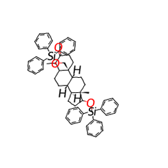 CC1C(=O)CC[C@@]2(CO[Si](c3ccccc3)(c3ccccc3)c3ccccc3)C1CC[C@@H]1[C@H]2CC[C@]2(C)C(O[Si](c3ccccc3)(c3ccccc3)c3ccccc3)CC[C@@H]12